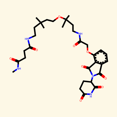 CNC(=O)CCC(=O)NCCC(C)(C)CCOC(C)(C)CCNC(=O)COc1cccc2c1C(=O)N(C1CCC(=O)NC1=O)C2=O